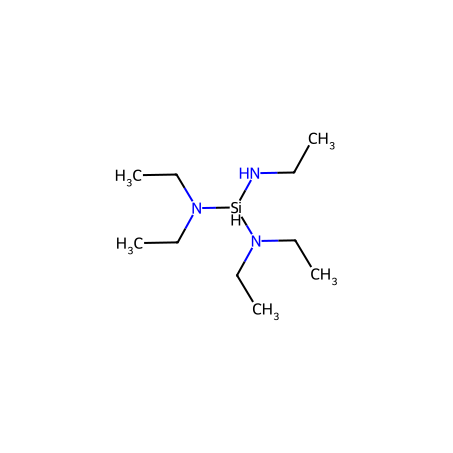 CCN[SiH](N(CC)CC)N(CC)CC